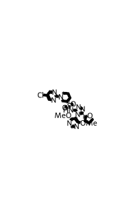 COc1ncnc(OC)c1-n1c(NS(=O)(=O)[C@@H]2CCCN(c3ncc(Cl)cn3)C2)nnc1[C@H]1CCCO1